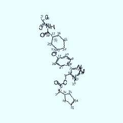 CN(C(=O)OCc1c(-c2ccc(O[C@H]3CCC[C@H](C(=O)NS(C)(=O)=O)C3)cc2)nnn1C)C1CCCC1